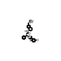 Cc1c(SN[C@H](CC(=O)NC2CCCc3cc(CNC(C)(C)C)ccc32)c2ccccc2)sc2ccc(Cl)cc12